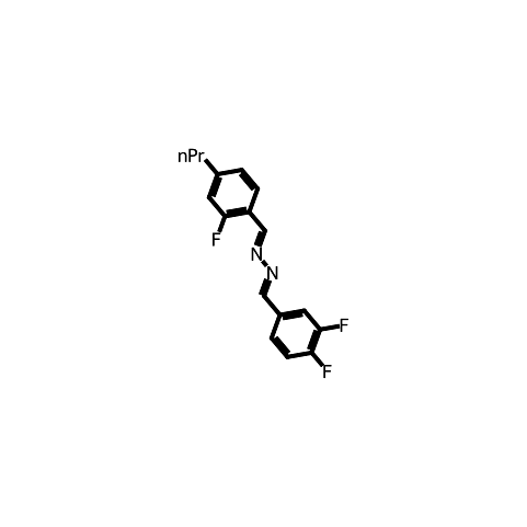 CCCc1ccc(C=NN=Cc2ccc(F)c(F)c2)c(F)c1